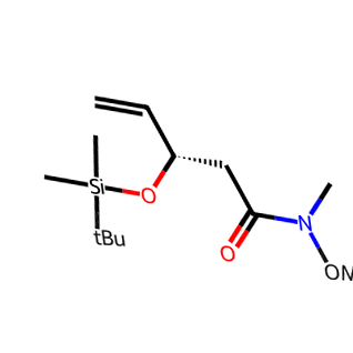 C=C[C@H](CC(=O)N(C)OC)O[Si](C)(C)C(C)(C)C